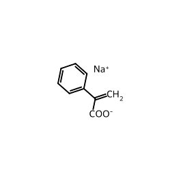 C=C(C(=O)[O-])c1ccccc1.[Na+]